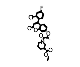 CCOC(=O)[C@H]1CCCN(C(=O)[C@@H](C)Oc2ccc3c(-c4ccc(F)cc4Cl)cc(=O)oc3c2)C1